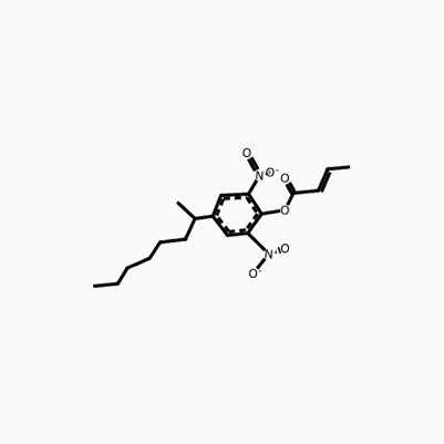 CC=CC(=O)Oc1c([N+](=O)[O-])cc(C(C)CCCCCC)cc1[N+](=O)[O-]